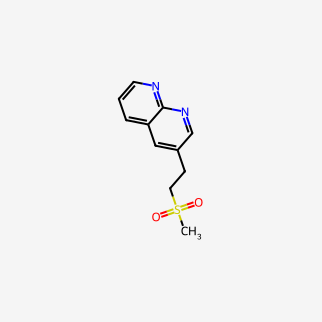 CS(=O)(=O)CCc1cnc2ncccc2c1